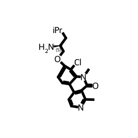 Cc1nccc2c1c(=O)n(C)c1c(Cl)c(OC[C@@H](N)CC(C)C)ccc21